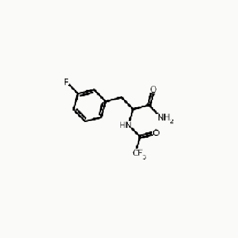 NC(=O)C(Cc1cccc(F)c1)NC(=O)C(F)(F)F